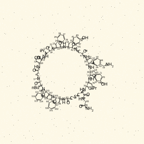 CCCC[C@H]1C(=O)N(C)CC(=O)N[C@@H](CC(=O)O)C(=O)N[C@@H](C(C)C)C(=O)N(C)[C@@H](Cc2ccccc2)C(=O)N[C@@H](Cc2ccc(O)cc2)C(=O)N(C)CC(=O)N[C@@H](Cc2ccc(CN)cc2)C(=O)N[C@@H](Cc2ccc(O)cc2)C(=O)N[C@@H](CC(C)C)C(=O)N[C@H](C(=O)NCC(N)=O)CSCC(=O)N[C@@H](Cc2ccccc2)C(=O)N(C)[C@@H](Cc2ccccc2)C(=O)N1C